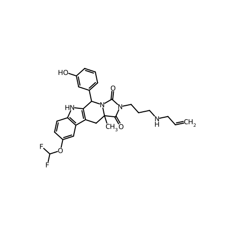 C=CCNCCCN1C(=O)N2C(c3cccc(O)c3)c3[nH]c4ccc(OC(F)F)cc4c3CC2(C)C1=O